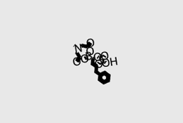 CN1CC(=O)OB(C(C=CCc2ccccc2)OS(=O)(=O)O)OC(=O)C1